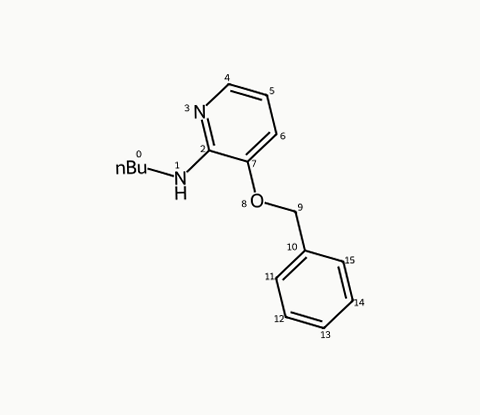 CCCCNc1ncccc1OCc1ccccc1